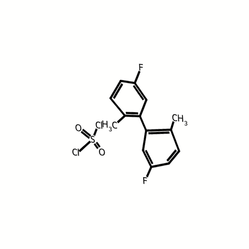 Cc1ccc(F)cc1-c1cc(F)ccc1C.O=S(=O)(Cl)Cl